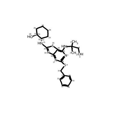 CC(C)(CO)Nc1nc(SCc2ccccc2)nc2nc(N[C@H]3CCCC[C@@H]3O)sc12